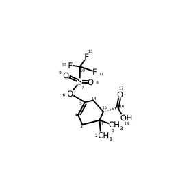 CC1(C)CC=C(OS(=O)(=O)C(F)(F)F)C[C@@H]1C(=O)O